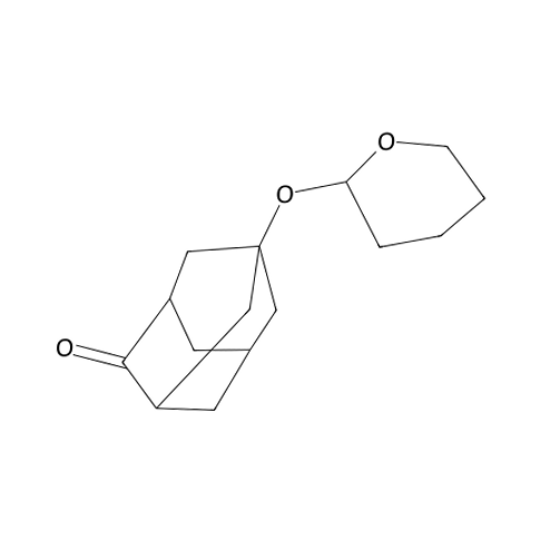 O=C1C2CC3CC1CC(OC1CCCCO1)(C3)C2